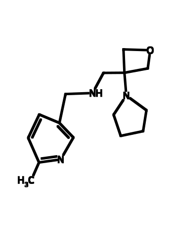 Cc1ccc(CNCC2(N3CCCC3)COC2)cn1